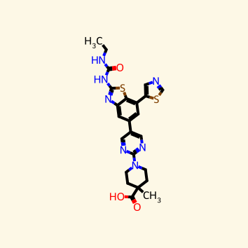 CCNC(=O)Nc1nc2cc(-c3cnc(N4CCC(C)(C(=O)O)CC4)nc3)cc(-c3cncs3)c2s1